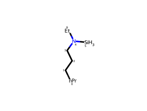 CCCCCCN([SiH3])CC